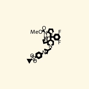 COC(=O)N[C@H]1CCC[C@@H]1[C@@](CN1CCC1)(c1cc(F)cc(F)c1)C1CCN(CC2CN(c3ccc(S(=O)(=O)C4CC4)cc3)C2)CC1